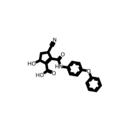 N#CC1CC(O)C(C(=O)O)=C1C(=O)Nc1ccc(Oc2ccccc2)cc1